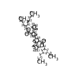 CCCCCCC(CCCC)COC(=O)c1cc(-c2cc(C(=O)OCC(CCCC)CCCCCC)c(-c3cccs3)s2)sc1-c1cccs1